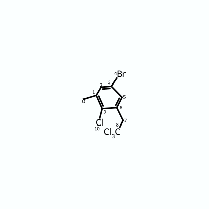 Cc1cc(Br)cc(CC(Cl)(Cl)Cl)c1Cl